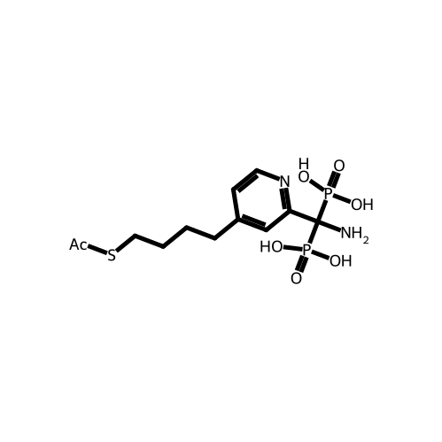 CC(=O)SCCCCc1ccnc(C(N)(P(=O)(O)O)P(=O)(O)O)c1